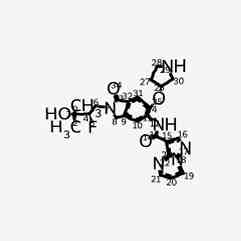 CC(C)(O)[C@H](F)CN1Cc2cc(NC(=O)c3cnn4cccnc34)c(O[C@H]3CCNC3)cc2C1=O